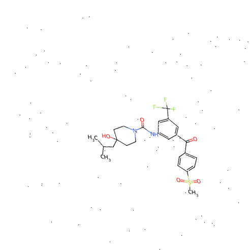 CC(C)CC1(O)CCN(C(=O)Nc2cc(C(=O)c3ccc(S(C)(=O)=O)cc3)cc(C(F)(F)F)c2)CC1